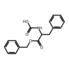 O=C(O)NC(Cc1ccccc1)C(=O)OCc1ccccc1